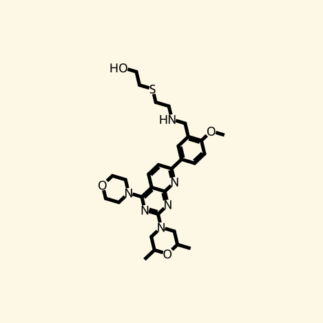 COc1ccc(-c2ccc3c(N4CCOCC4)nc(N4CC(C)OC(C)C4)nc3n2)cc1CNCCSCCO